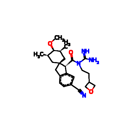 CO[C@H]1[C@H](C)C[C@@]2(Cc3ccc(C#N)cc3[C@H]2C(=O)N(CCC2COC2)C(=N)N)C[C@@H]1C